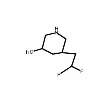 OC1CNCC(CC(F)F)C1